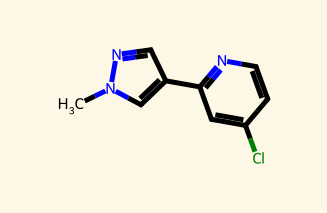 Cn1cc(-c2cc(Cl)ccn2)cn1